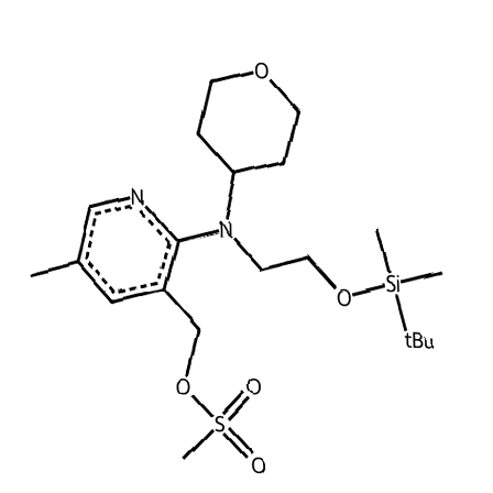 Cc1cnc(N(CCO[Si](C)(C)C(C)(C)C)C2CCOCC2)c(COS(C)(=O)=O)c1